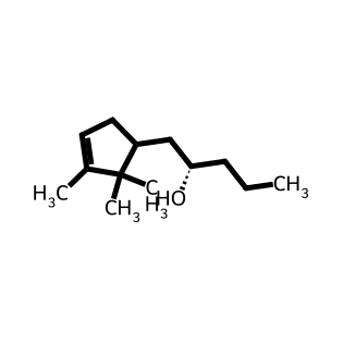 CCC[C@H](O)CC1CC=C(C)C1(C)C